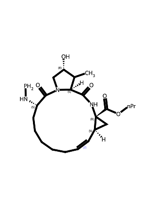 CCCOC(=O)[C@@]12C[C@H]1/C=C\CCCCC[C@H](NP)C(=O)N1C[C@H](O)C(C)[C@H]1C(=O)N2